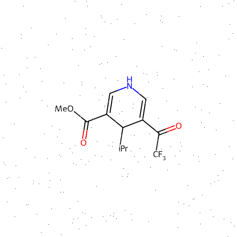 COC(=O)C1=CNC=C(C(=O)C(F)(F)F)C1C(C)C